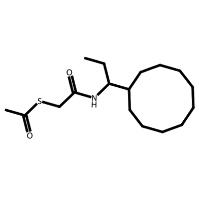 CCC(NC(=O)CSC(C)=O)C1CCCCCCCCC1